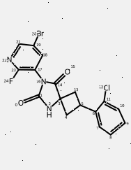 O=C1NC2(CC(c3ccccc3Cl)C2)C(=O)N1c1cc(Br)cnc1F